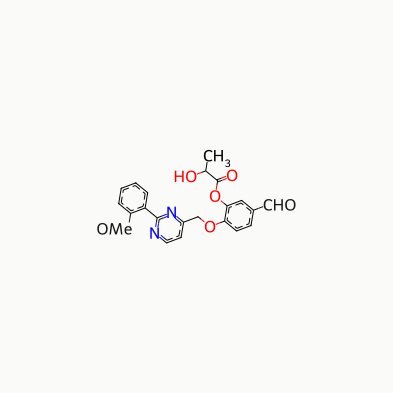 COc1ccccc1-c1nccc(COc2ccc(C=O)cc2OC(=O)C(C)O)n1